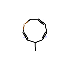 CC1/C=C\C=C/CS/C=C\1